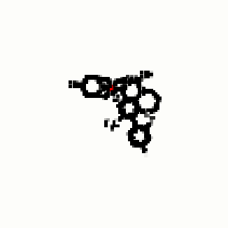 C=CC(=O)N1C2CC(=O)CC1CN(C1=NC(O)N3CCCSc4c(-c5ccc(F)cc5F)c(C(F)(F)F)cc1c43)C2